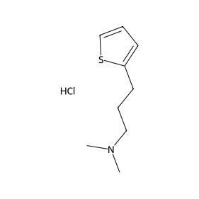 CN(C)CCCc1cccs1.Cl